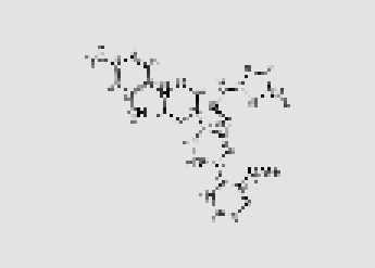 COc1cccnc1-c1ccc(C2(C(=O)N[C@H]3CCN(C)C3)CCN(c3ccc(C(F)(F)F)cc3C#N)CC2)cn1